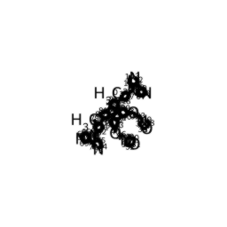 Cc1cc(-n2c3ccncc3c3cnccc32)ccc1-c1ccc2c(c1)C1(c3ccc(OCCN4CCOCC4)cc3-c3cc(OCCN4CCOCC4)ccc31)c1cc(-c3ccc(-n4c5ccncc5c5cnccc54)cc3C)ccc1-2